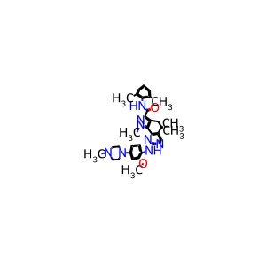 COc1cc(N2CCN(C)CC2)ccc1Nc1ncc2c(n1)-c1c(c(C(=O)Nc3c(C)cccc3C)nn1C)CC2(C)C